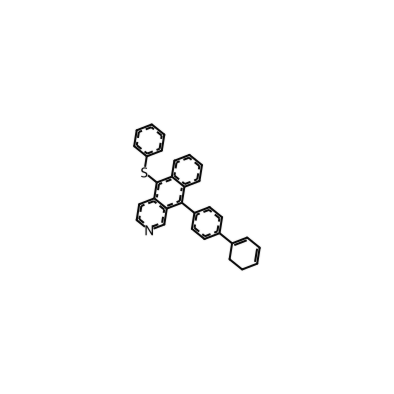 C1=CCCC(c2ccc(-c3c4ccccc4c(Sc4ccccc4)c4ccncc34)cc2)=C1